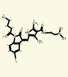 CCN(CC)CCNC(=O)c1c(C)[nH]c(/C=C2\C(=O)N(C(=O)CCCC(C)=O)c3ccc(F)cc32)c1C